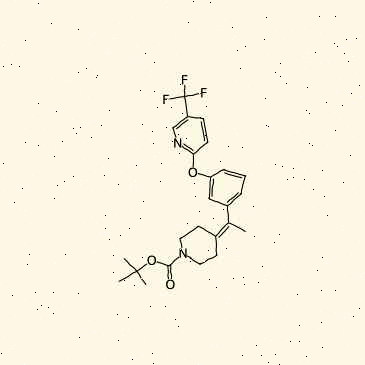 CC(=C1CCN(C(=O)OC(C)(C)C)CC1)c1cccc(Oc2ccc(C(F)(F)F)cn2)c1